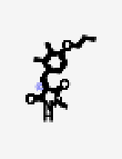 CCCOc1ccc(/C=C2/C(=O)NN(C)C2=O)c(C)c1C